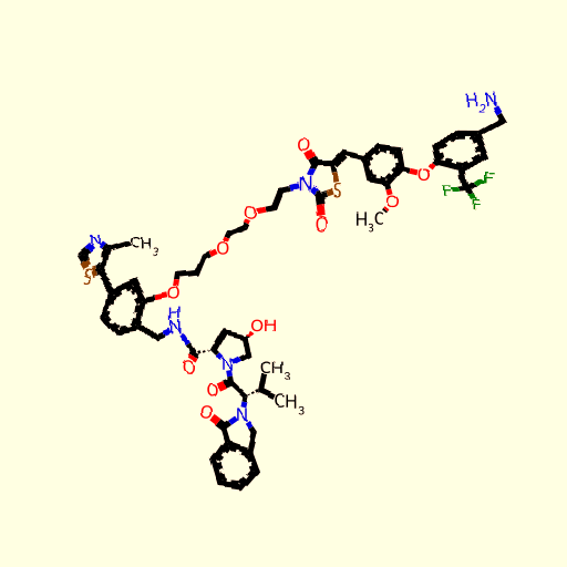 COc1cc(/C=C2\SC(=O)N(CCOCCOCCCOc3cc(-c4scnc4C)ccc3CNC(=O)[C@@H]3C[C@@H](O)CN3C(=O)[C@H](C(C)C)N3Cc4ccccc4C3=O)C2=O)ccc1Oc1ccc(CN)cc1C(F)(F)F